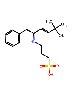 CC(C)(C)/C=C/[C@H](Cc1ccccc1)NCCCS(=O)(=O)O